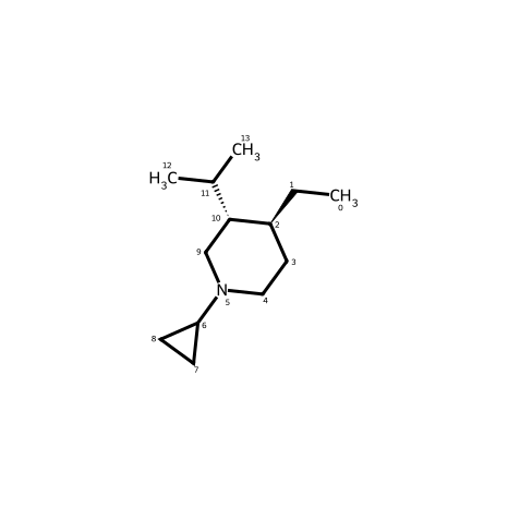 CC[C@H]1CCN(C2CC2)C[C@@H]1C(C)C